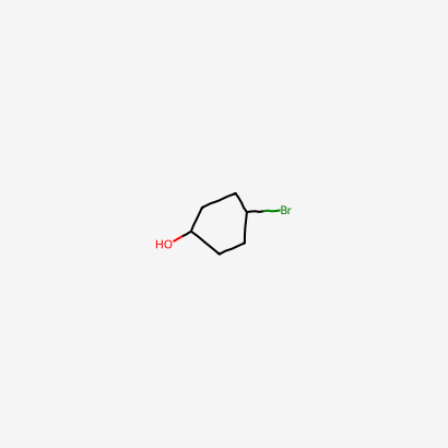 OC1CCC(Br)CC1